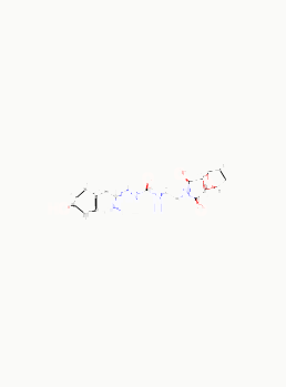 CN(C)C(CNC(=O)NCCN1C(=O)C2C3C=CC(O3)C2C1=O)Cc1ccc(O)cc1